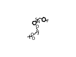 CCN(CCOC(=O)C(C)(C)C)CCOc1cccc2sc(Cc3ccc(F)cc3)nc12